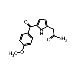 COc1ccc(C(=O)c2ccc(CC(N)=O)[nH]2)cc1